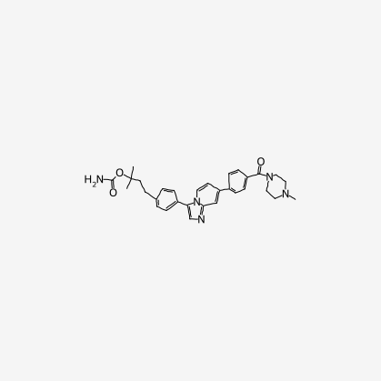 CN1CCN(C(=O)c2ccc(-c3ccn4c(-c5ccc(CCC(C)(C)OC(N)=O)cc5)cnc4c3)cc2)CC1